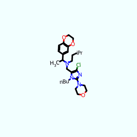 CCCCn1c(N2CCOCC2)nc(Cl)c1CN(CCC(C)C)C(C)c1ccc2c(c1)OCCO2